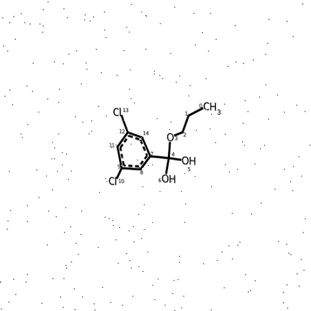 CCCOC(O)(O)c1cc(Cl)cc(Cl)c1